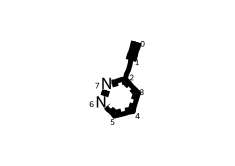 C#Cc1cc[c]nn1